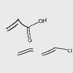 C=C.C=CC(=O)O.C=CCl